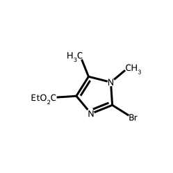 CCOC(=O)c1nc(Br)n(C)c1C